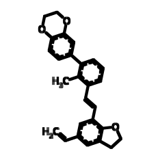 C=Cc1cc(/C=C/c2cccc(-c3ccc4c(c3)OCCO4)c2C)c2c(c1)CCO2